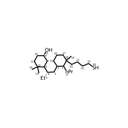 CCCC1C(C[C@H](CC)C2C[C@H](O)CCC2(C)C)CCCC1(C)CCCCS